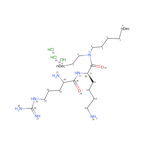 CCCCCCCCCCCCCCN(CCCCCCCCCCCC)C(=O)[C@@H](CCCCN)NC(=O)C(N)CCCNC(=N)N.Cl.Cl.Cl